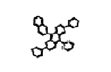 c1ccc(-c2ccc3c(-c4ncccn4)c4cc(-c5ccccc5)ccc4c(-c4ccc5ccccc5c4)c3c2)cc1